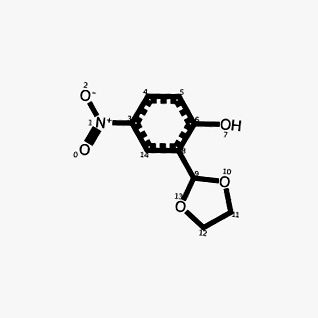 O=[N+]([O-])c1ccc(O)c(C2OCCO2)c1